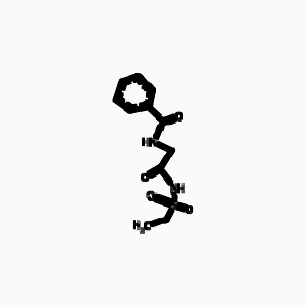 CCS(=O)(=O)NC(=O)CNC(=O)c1ccccc1